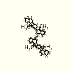 CC1c2cc3c4ccc5ccccc5c4n(C)c3cc2-c2cc(/C=C/c3cc4c5cc6c(cc5n(C)c4c4ccccc34)c3ccc4ccccc4c3n6C)c3ccccc3c21